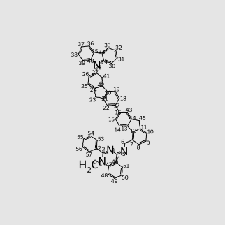 C=N/C(=N\C(=N/Cc1cccc2c1-c1ccc(-c3ccc4c(c3)Cc3ccc(-n5c6ccccc6c6ccccc65)cc3-4)cc1C2)c1ccccc1)c1ccccc1